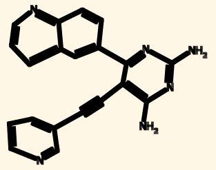 Nc1nc(N)c(C#Cc2cccnc2)c(-c2ccc3ncccc3c2)n1